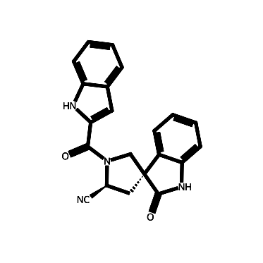 N#C[C@@H]1C[C@@]2(CN1C(=O)c1cc3ccccc3[nH]1)C(=O)Nc1ccccc12